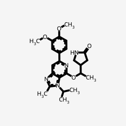 COc1ccc(-c2cc3nc(C)n(C(C)C)c3c(OC(C)C3CNC(=O)C3)n2)cc1OC